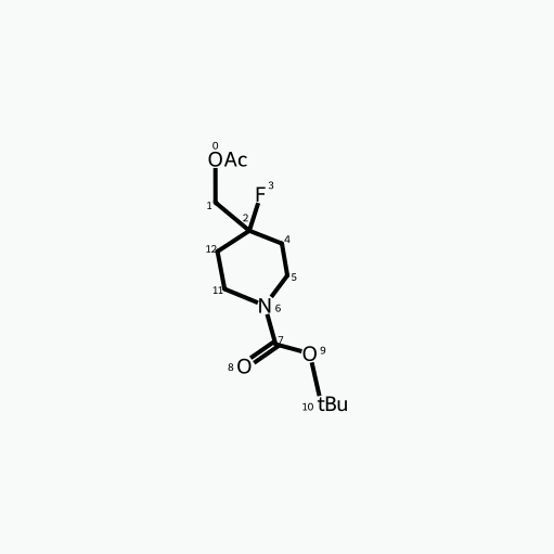 CC(=O)OCC1(F)CCN(C(=O)OC(C)(C)C)CC1